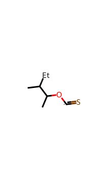 CCC(C)C(C)O[C]=S